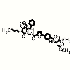 CCCCC[C@@H](C(=O)NCNC(=O)c1ccc(-c2ccc(C(=O)N[C@@H](CC(=O)OC)C(=O)OC)cc2)o1)[C@@H](CC)N(C=O)OCc1ccccc1